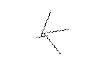 CCCCCCCCCCCCOc1cc(CCl)cc(OCCCCCCCCCCCC)c1OCCCCCCCCCCCC